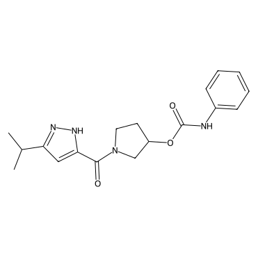 CC(C)c1cc(C(=O)N2CCC(OC(=O)Nc3ccccc3)C2)[nH]n1